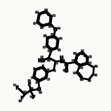 O=C(NC(Cc1cccc(OC(F)(F)C(F)F)c1)C(O)c1ccc(Oc2ccccc2)cc1)c1cccc2c1C=CCCC2